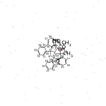 CCC(C)(CO)CC1(CC2(CC(C)(CO)COC)c3ccccc3-c3ccccc32)c2ccccc2-c2ccccc21